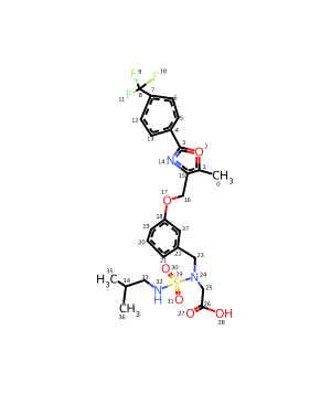 Cc1oc(-c2ccc(C(F)(F)F)cc2)nc1COc1cccc(CN(CC(=O)O)S(=O)(=O)NCC(C)C)c1